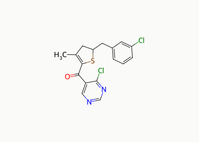 CC1=C(C(=O)c2cncnc2Cl)SC(Cc2cccc(Cl)c2)C1